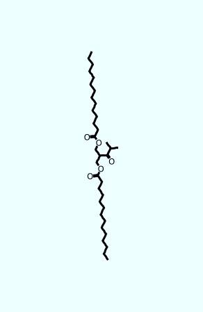 CCCCCCCCCCCCCC(=O)OCC(COC(=O)CCCCCCCCCCCCC)C(=O)C(C)C